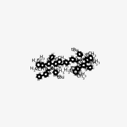 CC(C)(C)c1ccc(N2B3c4sc5ccc(-c6ccc(CC7(C)CCC(C)(C)c8cc9c(cc87)N(c7ccc(C(C)(C)C)cc7)B7c8sc%10ccc(-c%11ccccc%11)cc%10c8-n8c%10cc%11c(cc%10c%10c%12sc%13ccccc%13c%12c-9c7c%108)C(C)(C)CCC%11(C)C)cc6)cc5c4-n4c5cc6c(cc5c5c7sc8ccccc8c7c(c3c54)-c3cc4c(cc32)C(C)(C)CCC4(C)C)C(C)(C)CCC6(C)C)cc1